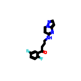 O=C(CCCNc1ccn2nccc2n1)c1cc(F)ccc1F